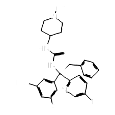 CC(C)N1CCC(NC(=O)N[C@@](Cc2ccccc2)(c2cc(F)cc(C(F)(F)F)c2)c2ccc(I)cn2)CC1